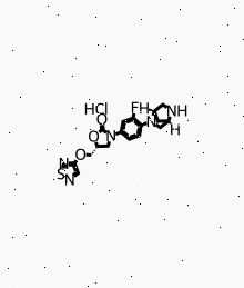 Cl.O=C1O[C@@H](COc2cnsn2)CN1c1ccc(N2C[C@@H]3C[C@H]2CN3)c(F)c1